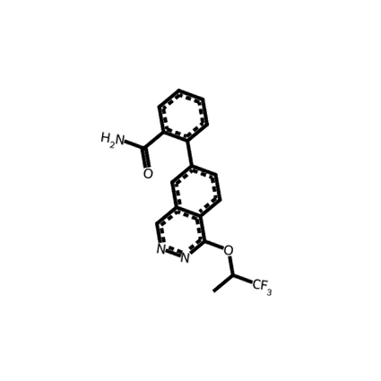 CC(Oc1nncc2cc(-c3ccccc3C(N)=O)ccc12)C(F)(F)F